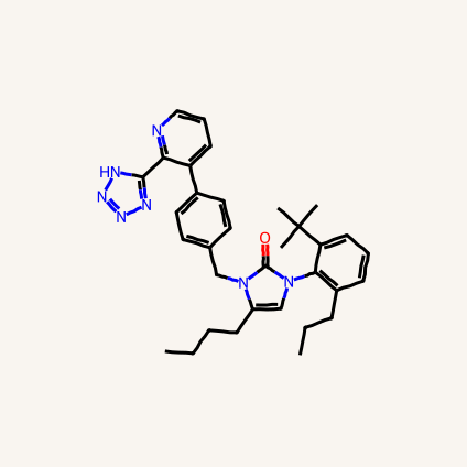 CCCCc1cn(-c2c(CCC)cccc2C(C)(C)C)c(=O)n1Cc1ccc(-c2cccnc2-c2nnn[nH]2)cc1